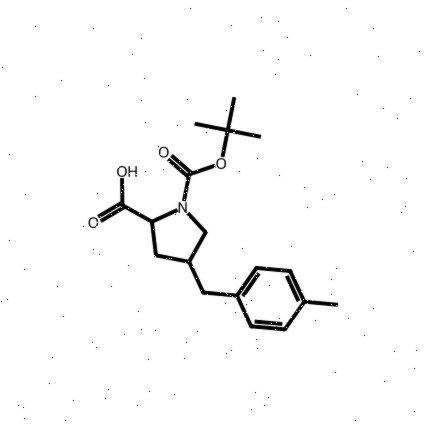 Cc1ccc(CC2CC(C(=O)O)N(C(=O)OC(C)(C)C)C2)cc1